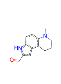 CN1CCCc2c1ccc1[nH]c(C=O)cc21